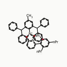 CCCc1cc(CCC)c(-c2cccc3c[n+](-c4c(C(c5ccccc5)c5ccccc5)cc(C)cc4C(c4ccccc4)c4ccccc4)cn23)c(CCC)c1